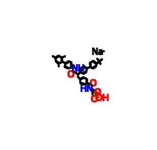 Cc1cc(C)c(-c2ccc(NC(=O)[C@H](Cc3ccc(C(=O)NCCS(=O)(=O)O)cc3)c3ccc(-c4ccc(C(C)(C)C)cc4)cc3)cc2)c(C)c1.[Na]